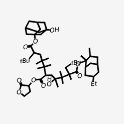 CCC1CC2CC(C)C(C)(OC(=O)C(C)(CC(C)(C)C)C(C)(C)C(C)(O)CC(C(=O)OC3CCOC3=O)C(C)(C)C(C)(C)CC(C(=O)OC34CC5CC(CC(O)(C5)C3)C4)C(C)(C)C)C(C1)C2